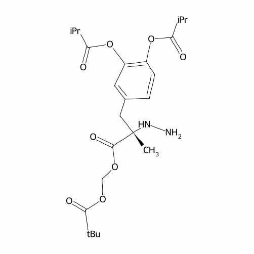 CC(C)C(=O)Oc1ccc(C[C@](C)(NN)C(=O)OCOC(=O)C(C)(C)C)cc1OC(=O)C(C)C